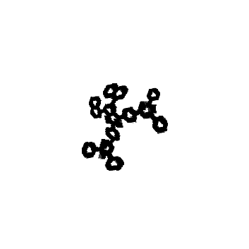 c1ccc(-c2cc(-c3ccc(-c4nc(-c5ccc(-c6cc(-c7ccccc7)nc(-c7ccccc7)n6)cc5)c5cc(-c6cccc7ccccc67)cc(-c6cccc7ccccc67)c5n4)cc3)nc(-c3ccccc3)n2)cc1